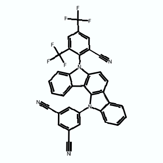 N#Cc1cc(C#N)cc(-n2c3ccccc3c3ccc4c(c5ccccc5n4-c4c(C#N)cc(C(F)(F)F)cc4C(F)(F)F)c32)c1